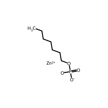 CCCCCCCOP(=O)([O-])[O-].[Zn+2]